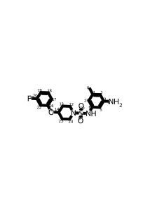 Cc1cc(N)cc(NS(=O)(=O)N2CCC(Oc3cccc(F)c3)CC2)c1